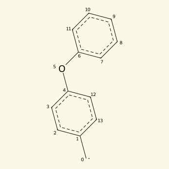 [CH2]c1ccc(Oc2ccccc2)cc1